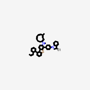 C/C=C\c1ccccc1-c1cccc2sc3c(C4C=CC(N5CC(CC)C6=CCCC=C65)=CC4)c(N(C)/C4=C/C=C(C)/C=C\C=C/CC4)ccc3c12